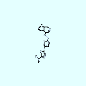 FC(F)c1nnc(-c2ccc(COc3cncc4ncccc34)nc2)o1